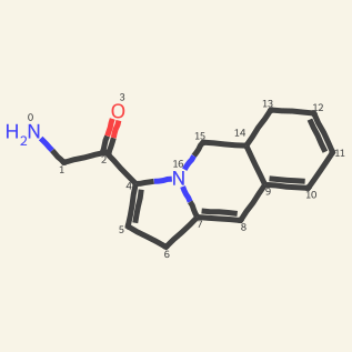 NCC(=O)C1=CCC2=CC3=CC=CCC3CN21